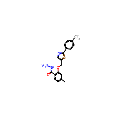 Cc1ccc(C(=O)NN)c(OCc2cnc(-c3ccc(C(F)(F)F)cc3)s2)c1